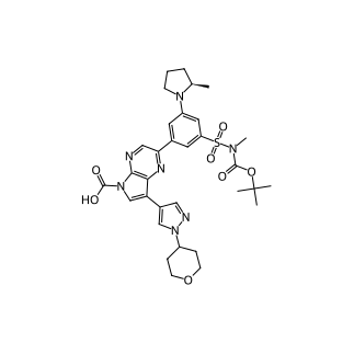 C[C@@H]1CCCN1c1cc(-c2cnc3c(n2)c(-c2cnn(C4CCOCC4)c2)cn3C(=O)O)cc(S(=O)(=O)N(C)C(=O)OC(C)(C)C)c1